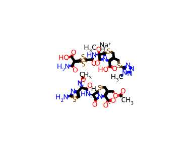 CO/N=C(\C(=O)N[C@@H]1C(=O)N2C(C(=O)[O-])=C(COC(C)=O)CS[C@H]12)c1csc(N)n1.CO[C@@]1(NC(=O)C2SC(=C(C(N)=O)C(=O)O)S2)C(=O)N2C(C(=O)O)=C(CSc3nnnn3C)CS[C@@H]21.[Na+]